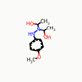 COc1ccc(NN(C(C)O)C(C)O)cc1